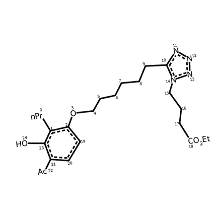 CCCc1c(OCCCCCCc2nnnn2CCCC(=O)OCC)ccc(C(C)=O)c1O